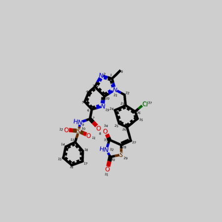 Cc1nc2ccc(C(=O)NS(=O)(=O)c3ccccc3)nc2n1Cc1ccc(C=C2SC(=O)NC2=O)cc1Cl